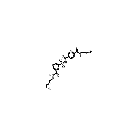 CCOCCNC(=O)c1cccc(S(=O)(=O)NC(=O)c2ccc(C(=O)NCCO)nc2)c1